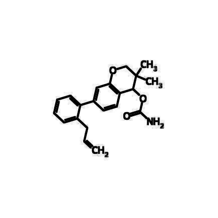 C=CCc1ccccc1-c1ccc2c(c1)OCC(C)(C)C2OC(N)=O